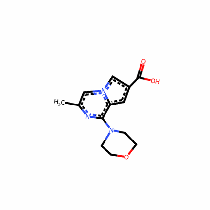 Cc1cn2cc(C(=O)O)cc2c(N2CCOCC2)n1